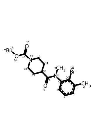 Cc1cccc(N(C)C(=O)C2CCN(C(=O)OC(C)(C)C)CC2)c1Br